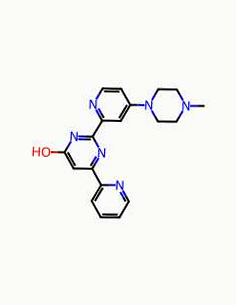 CN1CCN(c2ccnc(-c3nc(O)cc(-c4ccccn4)n3)c2)CC1